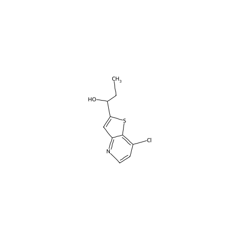 CCC(O)c1cc2nccc(Cl)c2s1